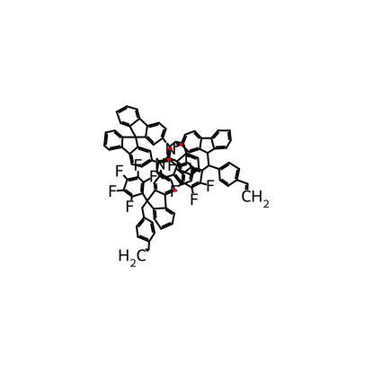 C=Cc1ccc(CC2(c3c(F)c(F)c(F)c(F)c3F)c3ccccc3-c3ccc(N(c4ccc5c(c4)C4(c6ccccc6-c6ccc(N(c7ccc8c(c7)C(C(c7ccc(C=C)cc7)c7c(F)c(F)c(F)c(F)c7F)c7ccccc7-8)c7cccc8ccccc78)cc64)c4ccccc4-5)c4cccc5ccccc45)cc32)cc1